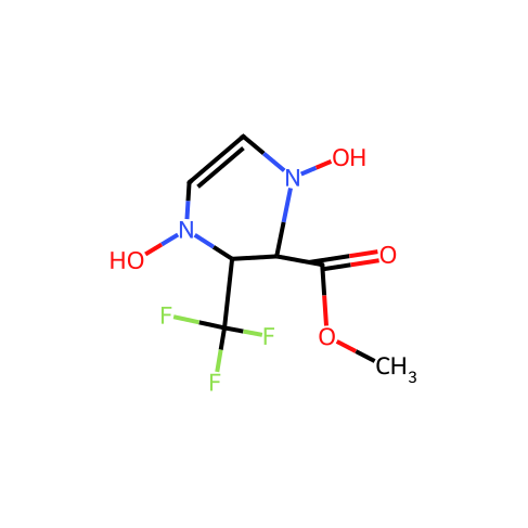 COC(=O)C1C(C(F)(F)F)N(O)C=CN1O